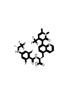 Cc1cc(C(F)(F)F)c(-c2ccc(C[C@H](NC(=O)c3c(F)cc(N[C@H](C)C(F)(F)F)cc3F)C(=O)O)c3cccnc23)c(=O)n1C